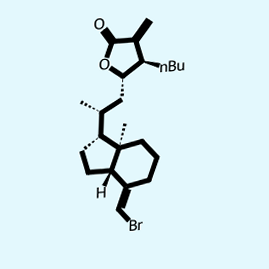 C=C1C(=O)O[C@@H](C[C@@H](C)[C@H]2CC[C@H]3/C(=C/Br)CCC[C@]23C)[C@@H]1CCCC